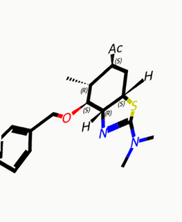 CC(=O)[C@H]1C[C@@H]2SC(N(C)C)=N[C@@H]2[C@@H](OCc2ccccc2)[C@@H]1C